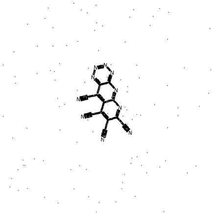 N#Cc1nc2nc3nnnnc3c(C#N)c2c(C#N)c1C#N